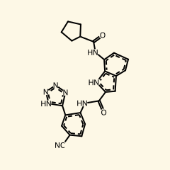 N#Cc1ccc(NC(=O)c2cc3cccc(NC(=O)C4CCCC4)c3[nH]2)c(-c2nnn[nH]2)c1